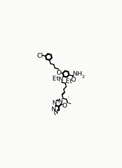 CC[C@H](CC/C=C/C[C@H](C)[C@@H](C)Oc1ncnc2nn(C)cc12)CN(CC)c1cc(C(N)=O)ccc1OCCCCc1cccc(Cl)c1